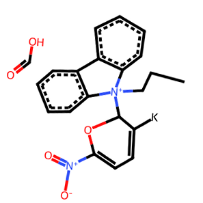 CCC[N+]1(C2OC([N+](=O)[O-])=CC=[C]2[K])c2ccccc2-c2ccccc21.O=CO